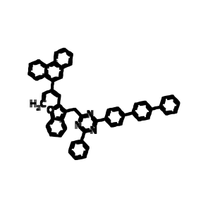 C=C/C(=C\c1oc2ccccc2c1Cc1nc(-c2ccccc2)nc(-c2ccc(-c3ccc(-c4ccccc4)cc3)cc2)n1)c1cc2ccccc2c2ccccc12